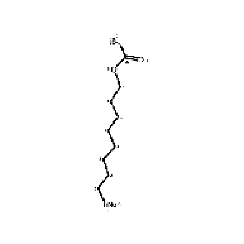 CCCCCCCCCCCCCCCCCOC(=O)C(C)CC